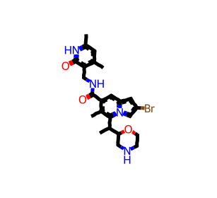 Cc1cc(C)c(CNC(=O)c2cc3cc(Br)cn3c(C(C)C3CNCCO3)c2C)c(=O)[nH]1